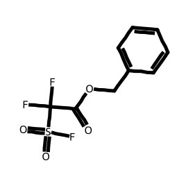 O=C(OCc1ccccc1)C(F)(F)S(=O)(=O)F